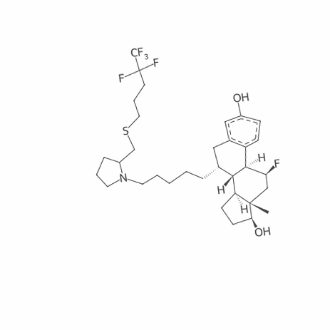 C[C@]12C[C@H](F)[C@@H]3c4ccc(O)cc4C[C@@H](CCCCCN4CCCC4CSCCCC(F)(F)C(F)(F)F)[C@H]3[C@@H]1CC[C@@H]2O